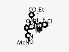 CCOC(=O)c1ccc(NC(=O)C2c3cccc(-c4ccc(C(=O)NC)nc4)c3CCN2C(=O)/C=C/c2c(-n3cnnn3)ccc(Cl)c2F)cc1